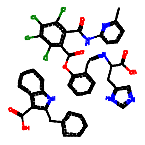 Cc1cccc(NC(=O)c2c(Cl)c(Cl)c(Cl)c(Cl)c2C(=O)Oc2ccccc2C=NC(Cc2cnc[nH]2)C(=O)O)n1.O=C(O)c1c(Cc2ccccc2)[nH]c2ccccc12